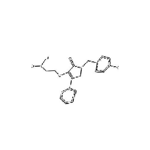 CCN(CC)CCOC1=C(c2ccccc2)CN(Cc2ccc(Cl)cc2)C1=O